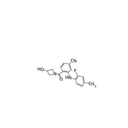 Cc1ccc(Nc2cc(C#N)ccc2C(=O)N2CC(O)C2)c(F)c1